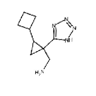 NCC1(c2nnn[nH]2)CC1C1CCC1